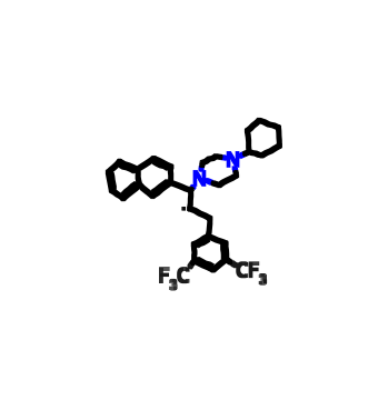 FC(F)(F)c1cc(C[CH]C(c2ccc3ccccc3c2)N2CCN(C3CCCCC3)CC2)cc(C(F)(F)F)c1